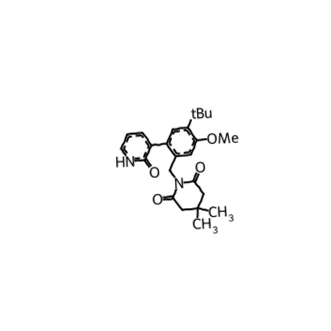 COc1cc(CN2C(=O)CC(C)(C)CC2=O)c(-c2ccc[nH]c2=O)cc1C(C)(C)C